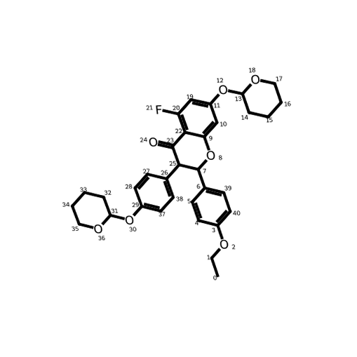 CCOc1ccc(C2Oc3cc(OC4CCCCO4)cc(F)c3C(=O)C2c2ccc(OC3CCCCO3)cc2)cc1